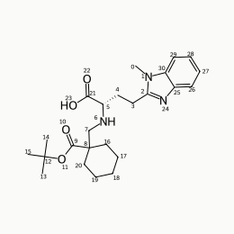 Cn1c(CC[C@H](NCC2(C(=O)OC(C)(C)C)CCCCC2)C(=O)O)nc2ccccc21